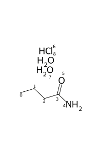 CCCC(N)=O.Cl.O.O